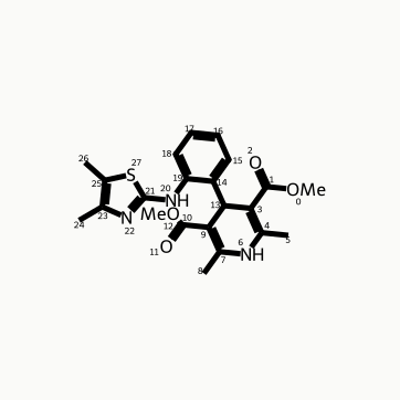 COC(=O)C1=C(C)NC(C)=C(C(=O)OC)C1c1ccccc1Nc1nc(C)c(C)s1